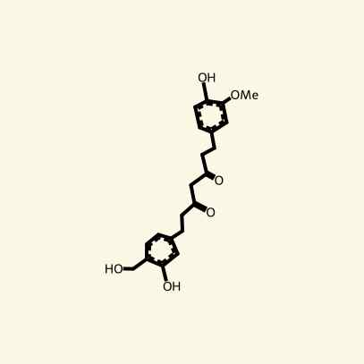 COc1cc(CCC(=O)CC(=O)CCc2ccc(CO)c(O)c2)ccc1O